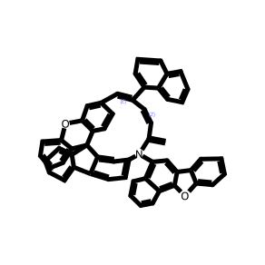 C=C1/C=C\C(c2cccc3ccccc23)=C/c2ccc3c(c2)Oc2ccccc2C32c3ccccc3-c3ccc(cc32)N1c1cc2c3ccccc3oc2c2ccccc12